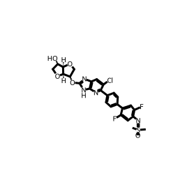 CS(C)(=O)=Nc1cc(F)c(-c2ccc(-c3nc4[nH]c(O[C@@H]5CO[C@H]6[C@@H]5OC[C@H]6O)nc4cc3Cl)cc2)cc1F